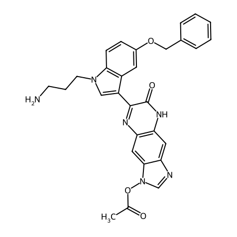 CC(=O)On1cnc2cc3[nH]c(=O)c(-c4cn(CCCN)c5ccc(OCc6ccccc6)cc45)nc3cc21